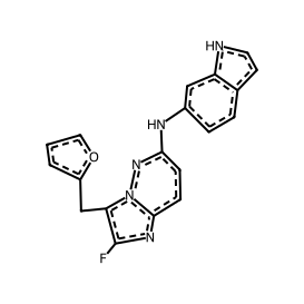 Fc1nc2ccc(Nc3ccc4cc[nH]c4c3)nn2c1Cc1ccco1